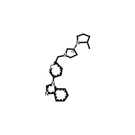 CC1CCCN1[C@H]1CCN(Cc2ccc(-n3cnc4ccccc43)cc2)C1